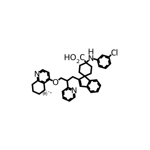 C[C@@H]1CCCc2nccc(OCC(CC3=Cc4ccccc4C34CCC(Nc3cccc(Cl)c3)(C(=O)O)CC4)c3ccccn3)c21